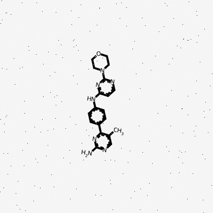 Cc1cnc(N)nc1-c1ccc(Nc2ccnc(N3CCOCC3)n2)cc1